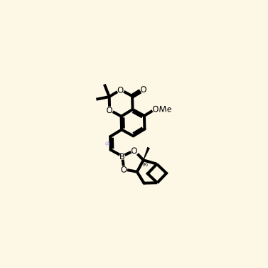 COc1ccc(/C=C\B2OC3CC4CC(C4)[C@@]3(C)O2)c2c1C(=O)OC(C)(C)O2